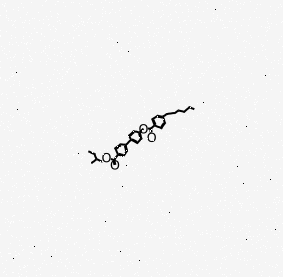 CCCCCCc1ccc(C(=O)Oc2ccc(-c3ccc(C(=O)OCC(C)CC)cc3)cc2)cc1